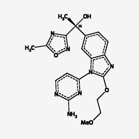 COCCOc1nc2ccc([C@@](C)(O)c3noc(C)n3)cc2n1-c1ccnc(N)n1